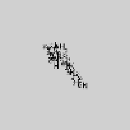 N#Cc1ccc(N2CCN(C3C=C(c4cc5c(N)cc(F)cc5c(=O)[nH]4)CC3)CC2)cc1